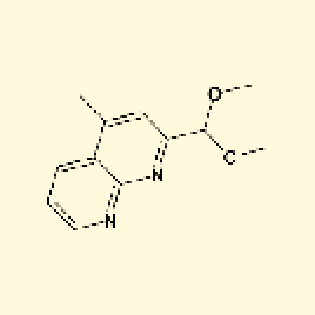 COC(OC)c1cc(C)c2cccnc2n1